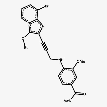 CCOc1c(C#CCNc2ccc(C(=O)NC)cc2OC)nc2c(Br)cccn12